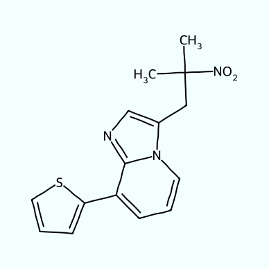 CC(C)(Cc1cnc2c(-c3cccs3)cccn12)[N+](=O)[O-]